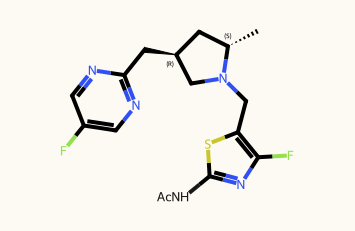 CC(=O)Nc1nc(F)c(CN2C[C@@H](Cc3ncc(F)cn3)C[C@@H]2C)s1